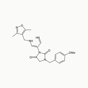 COc1ccc(CN2CC(=O)N(/C(C=N)=C/NCc3c(C)noc3C)C2=O)cc1